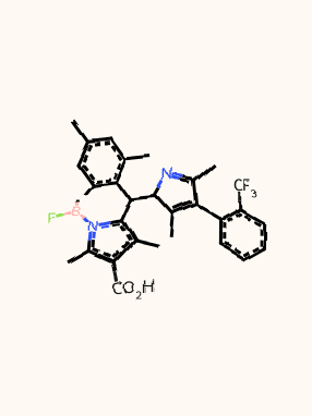 CB(F)n1c(C)c(C(=O)O)c(C)c1C(c1c(C)cc(C)cc1C)C1N=C(C)C(c2ccccc2C(F)(F)F)=C1C